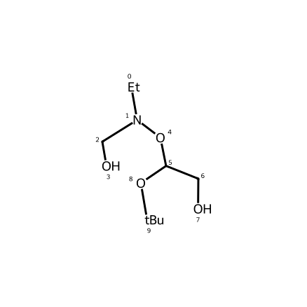 CCN(CO)OC(CO)OC(C)(C)C